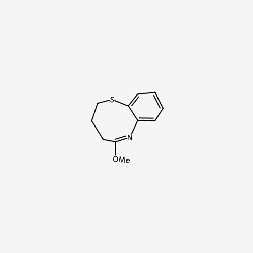 COC1=Nc2ccccc2SCCC1